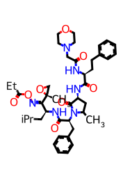 CCC(=O)O/N=C(/[C@H](CC(C)C)NC(=O)[C@H](Cc1ccccc1)N1C(=O)[C@@H](NC(=O)[C@H](CCc2ccccc2)NC(=O)CN2CCOCC2)CC1C)[C@@]1(C)CO1